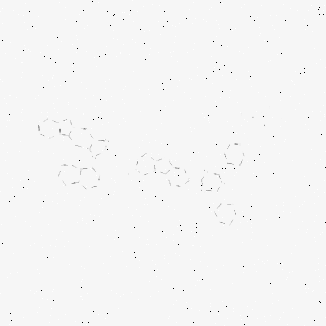 CC(Cc1ccc2c(c1)oc1cc(-c3nc(-c4ccccc4)nc(-c4ccc(B5OC(C)(C)C(C)(C)O5)cc4)n3)ccc12)c1nc2cc3sc4ccccc4c3cc2n1-c1cccc2c(Cl)cccc12